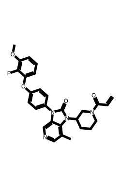 C=CC(=O)N1CCCC(n2c(=O)n(-c3ccc(Oc4cccc(OC)c4F)cc3)c3cncc(C)c32)C1